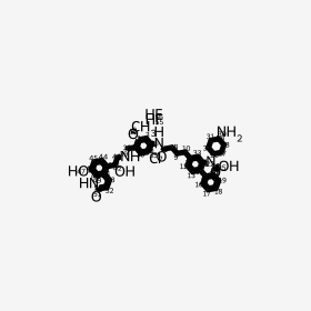 COc1cc(NC(=O)CCCc2ccc(-c3ccccc3)c(N(C(=O)O)C3CCC(N)CC3)c2)c(Cl)cc1CNC[C@@H](O)c1ccc(O)c2[nH]c(=O)ccc12.F.F